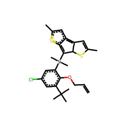 C=CCOc1c(C(C)(C)C)cc(Cl)cc1[Si](C)(C)C1=c2sc(C)cc2=C2C=C(C)SC21